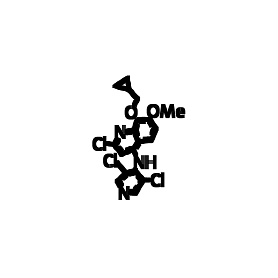 COc1ccc2c(Nc3c(Cl)cncc3Cl)cc(Cl)nc2c1OCC1CC1